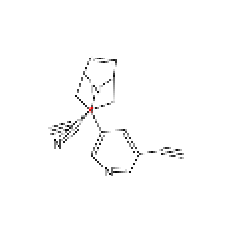 C#CCN1C2C=CC1CC(C#N)(c1cncc(C#C)c1)C2